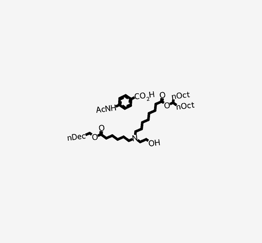 CC(=O)Nc1ccc(C(=O)O)cc1.CCCCCCCCCCCOC(=O)CCCCCN(CCO)CCCCCCCC(=O)OC(CCCCCCCC)CCCCCCCC